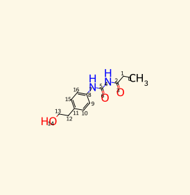 CCC(=O)NC(=O)Nc1ccc(CCO)cc1